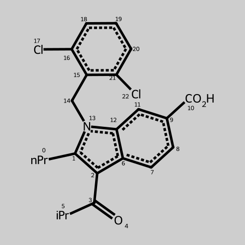 CCCc1c(C(=O)C(C)C)c2ccc(C(=O)O)cc2n1Cc1c(Cl)cccc1Cl